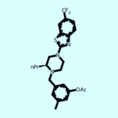 CCC[C@H]1CN(c2nc3ccc(C(F)(F)F)cc3s2)CCN1Cc1cc(C)cc(OC(C)=O)c1